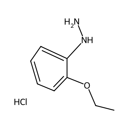 CCOc1ccccc1NN.Cl